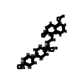 COc1cccc2c1ccc(=O)n2CCCN1CCN(c2ccc(Cl)cc2)CC1.Cl